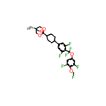 CCCC12COC(C3CCC(c4cc(F)c(C(F)(F)Oc5cc(F)c(OCF)c(F)c5)c(F)c4)CC3)(OC1)OC2